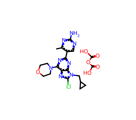 Cc1nc(N)ncc1-c1nc(N2CCOCC2)c2nc(Cl)n(CC3CC3)c2n1.O=C(O)OC(=O)O